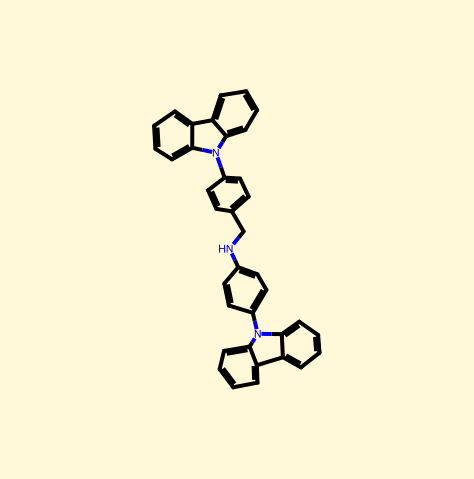 c1ccc2c(c1)c1ccccc1n2-c1ccc(CNc2ccc(-n3c4ccccc4c4ccccc43)cc2)cc1